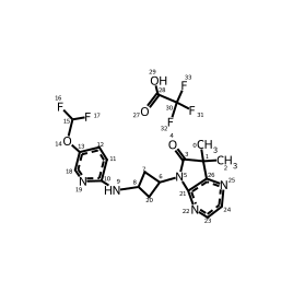 CC1(C)C(=O)N(C2CC(Nc3ccc(OC(F)F)cn3)C2)c2nccnc21.O=C(O)C(F)(F)F